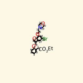 CCOC(=O)Cc1ccccc1OCc1coc2c(OCCN3CCOCC3)cc(Br)cc12